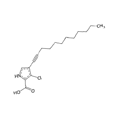 CCCCCCCCCCC#Cc1c[nH]c(C(=O)O)c1Cl